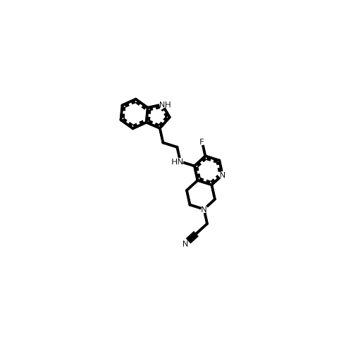 N#CCN1CCc2c(ncc(F)c2NCCc2c[nH]c3ccccc23)C1